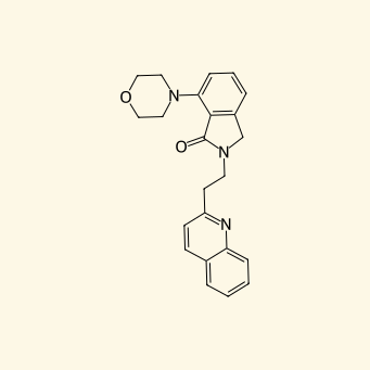 O=C1c2c(cccc2N2CCOCC2)CN1CCc1ccc2ccccc2n1